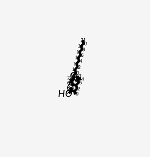 C=C(CC1CC(C)(C)N(OCCCCCCCCCCCC)C(C)(C)C1)C(=O)O